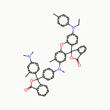 CCN(c1ccc(C)cc1)c1ccc2c(c1)Oc1cc(C)c(N(C)c3ccc(C4(c5ccc(N(C)C)cc5C)OC(=O)c5ccccc54)cc3)cc1C21OC(=O)c2ccccc21